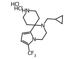 Cl.Cl.FC(F)(F)c1ccc2n1CCN(CC1CC1)C21CCNCC1